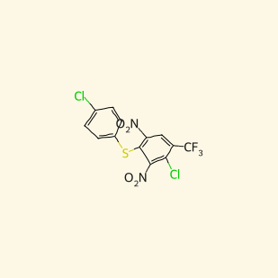 O=[N+]([O-])c1cc(C(F)(F)F)c(Cl)c([N+](=O)[O-])c1Sc1ccc(Cl)cc1